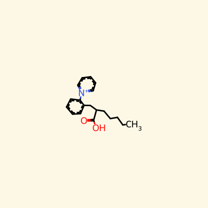 CCCCCC(Cc1ccccc1-[n+]1ccccc1)C(=O)O